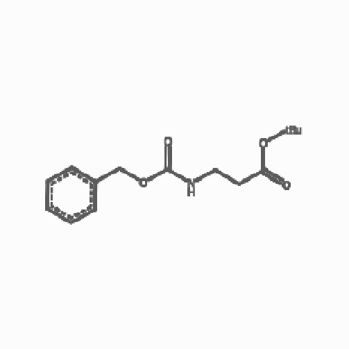 CC(C)(C)OC(=O)CCNC(=O)OCc1ccccc1